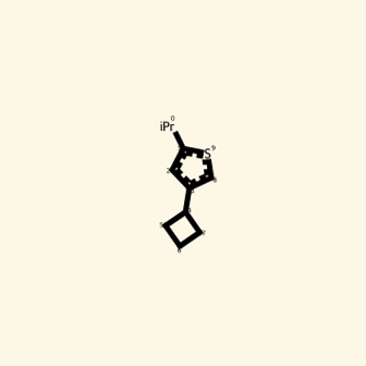 CC(C)c1cc(C2CCC2)cs1